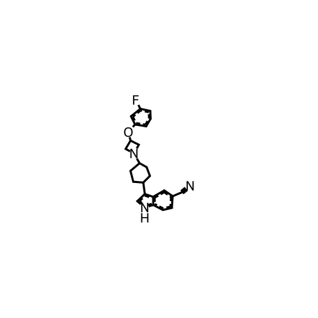 N#Cc1ccc2[nH]cc(C3CCC(N4CC(Oc5cccc(F)c5)C4)CC3)c2c1